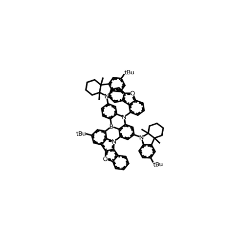 CC(C)(C)c1ccc2c(c1)C1(C)CCCCC1(C)N2c1ccc2c(c1)N(c1cccc3oc4ccccc4c13)c1cc(N3c4ccc(C(C)(C)C)cc4C4(C)CCCCC34C)cc3c1B2c1cc(C(C)(C)C)cc2c4oc5ccccc5c4n-3c12